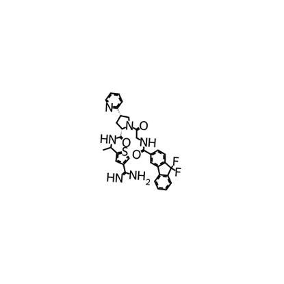 CC(NC(=O)[C@@H]1C[C@H](c2ccccn2)CN1C(=O)CNC(=O)c1ccc2c(c1)-c1ccccc1C2(F)F)c1cc(C(=N)N)cs1